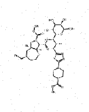 CSC1O[C@H]([C@H](NC(=O)[C@@H]2[C@@H]3OCC[C@@H](CC(C)C)C[C@H]3CN2C(=O)OC(C)(C)C)[C@H](C)Sc2nnc(N3CCN(C(=O)OC(C)(C)C)CC3)s2)C(O)C(O)[C@H]1O